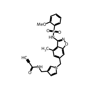 C#CC(=O)NCc1ccn(Cc2cc(C)c3c(NS(=O)(=O)c4ccccc4OC)noc3c2)c1